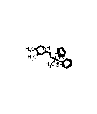 CC1CNC(CCC(C)(C)[Si](O)(c2ccccc2)c2ccccc2)CC1C